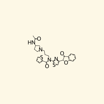 CC(=O)NC1CCN(CCCN(C(=O)c2cccs2)c2nc(C3Oc4ccccc4C3=O)cs2)C1